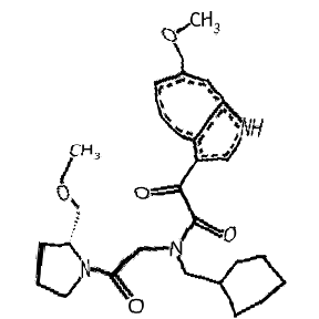 COC[C@H]1CCCN1C(=O)CN(CC1CCCCC1)C(=O)C(=O)c1c[nH]c2cc(OC)ccc12